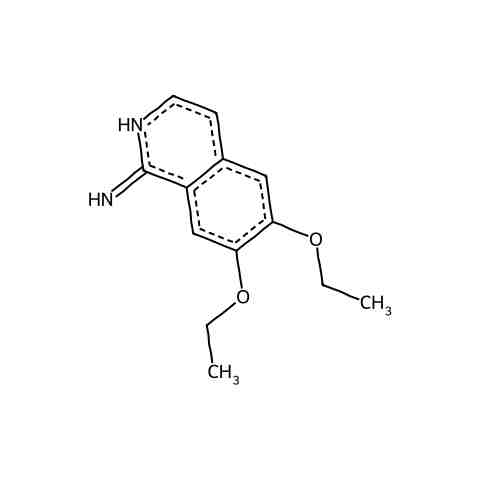 CCOc1cc2cc[nH]c(=N)c2cc1OCC